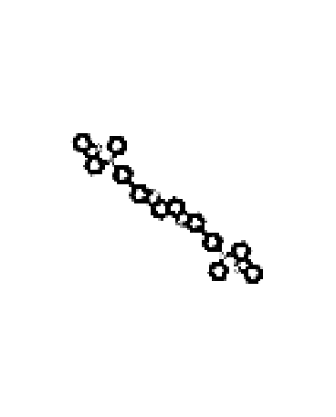 c1ccc(N(c2ccc(-c3ccc4c(c3)sc3c4ccc4c3ccc3c5ccc(-c6ccc(N(c7ccccc7)c7cccc8c7oc7ccccc78)cc6)cc5sc34)cc2)c2cccc3c2oc2ccccc23)cc1